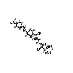 CN(C)c1ccc(N=Nc2ccc(C(=O)NCCNC(=O)C(N)CS)cc2)cc1